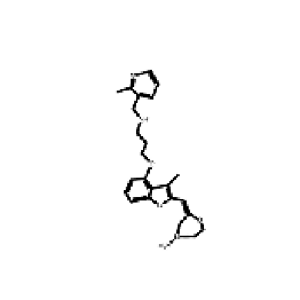 Cc1ncccc1CNCCCOc1cccc2oc(C=C3CN(N)CCO3)c(C)c12